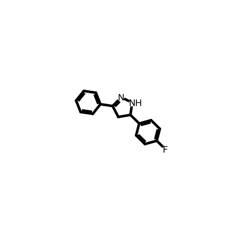 Fc1ccc(C2CC(c3ccccc3)=NN2)cc1